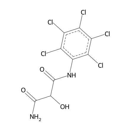 NC(=O)C(O)C(=O)Nc1c(Cl)c(Cl)c(Cl)c(Cl)c1Cl